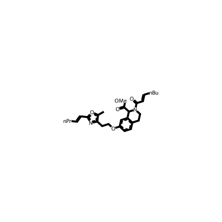 CCC/C=C/c1nc(CCOc2ccc3c(c2)C(C(=O)OC)N(C(=O)C=CCCCC)CC3)c(C)o1